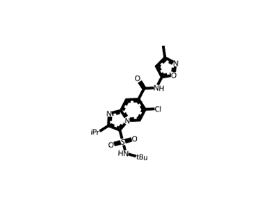 Cc1cc(NC(=O)c2cc3nc(C(C)C)c(S(=O)(=O)NC(C)(C)C)n3cc2Cl)on1